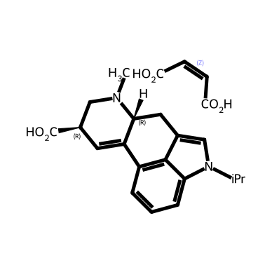 CC(C)n1cc2c3c(cccc31)C1=C[C@@H](C(=O)O)CN(C)[C@@H]1C2.O=C(O)/C=C\C(=O)O